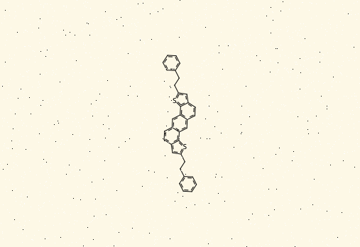 c1ccc(CCc2cc3ccc4cc5c(ccc6cc(CCc7ccccc7)sc65)cc4c3s2)cc1